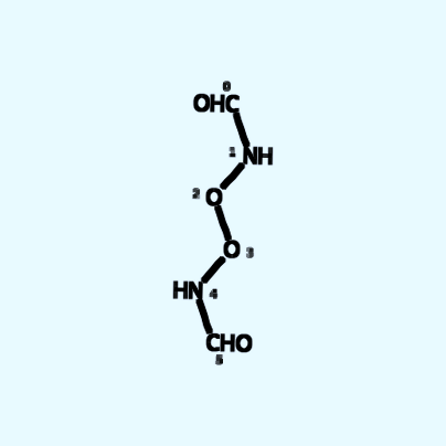 O=CNOONC=O